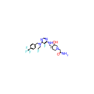 NC(=O)CN1CC[C@@H](CNc2ncnc(N(CCF)Cc3ccc(C(F)(F)F)cc3)c2F)[C@H](O)C1